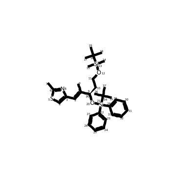 CC(=Cc1csc(C)n1)[C@@H](CCO[Si](C)(C)C(C)(C)C)O[Si](c1ccccc1)(c1ccccc1)C(C)(C)C